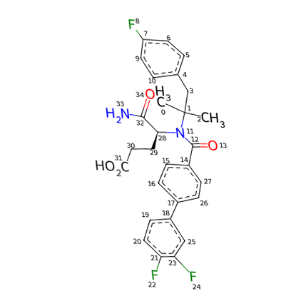 CC(C)(Cc1ccc(F)cc1)N(C(=O)c1ccc(-c2ccc(F)c(F)c2)cc1)[C@@H](CCC(=O)O)C(N)=O